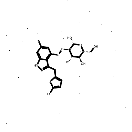 CCc1ccc(Cc2n[nH]c3cc(C)cc(OO[C@@H]4[C@@H](O)[C@H](O)[C@@H](CO)O[C@H]4O)c23)s1